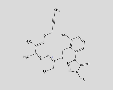 CC#CCON=C(C)C(C)=N/N=C(\CC)OCc1c(C)cccc1-n1nnn(C)c1=O